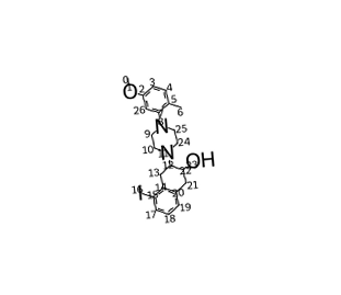 COc1ccc(C)c(N2CCN(C3Cc4c(I)cccc4CC3O)CC2)c1